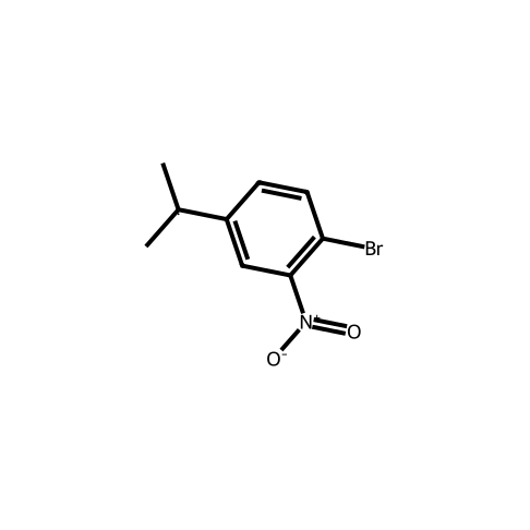 C[C](C)c1ccc(Br)c([N+](=O)[O-])c1